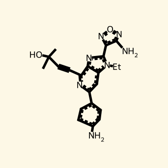 CCn1c(-c2nonc2N)nc2c(C#CC(C)(C)O)nc(-c3ccc(N)cc3)cc21